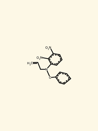 C=CCN(Oc1ccccc1)c1cccc([N+](=O)[O-])c1[N+](=O)[O-]